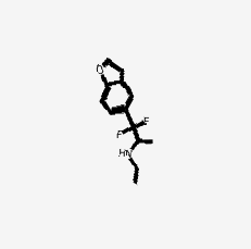 CCNC(C)C(F)(F)c1ccc2occc2c1